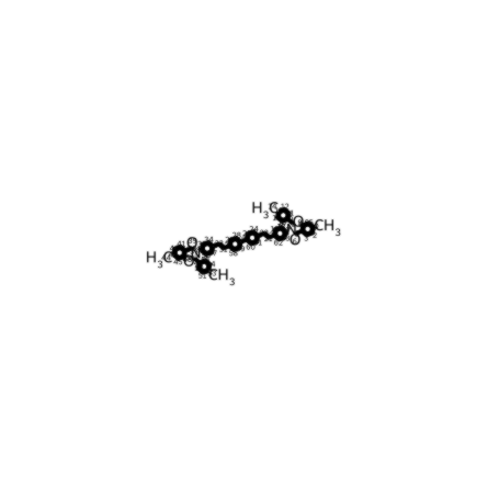 Cc1ccc(C(=O)N(C(=O)c2ccc(C)cc2)c2ccc(C=Cc3ccc(-c4ccc(C=Cc5ccc(N(C(=O)c6ccc(C)cc6)C(=O)c6ccc(C)cc6)cc5)cc4)cc3)cc2)cc1